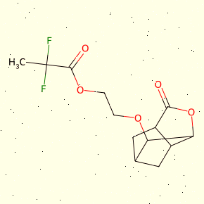 CC(F)(F)C(=O)OCCOC1C2CC3C(=O)OC1C3C2